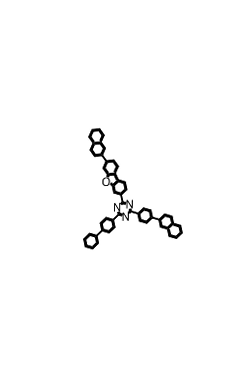 c1ccc(-c2ccc(-c3nc(-c4ccc(-c5ccc6ccccc6c5)cc4)nc(-c4ccc5c(c4)oc4cc(-c6ccc7ccccc7c6)ccc45)n3)cc2)cc1